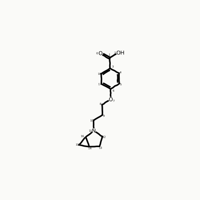 O=C(O)c1ccc(OCCCN2CCC3CC32)cc1